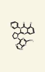 Nc1nc(N2CCCC2c2nc3cccc(Cl)c3c(=O)n2-c2cccnc2)c2nc[nH]c2n1